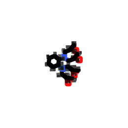 C1CCC(N(CC2CO2)CC2CO2)C(N(CC2CO2)CC2CO2)C1